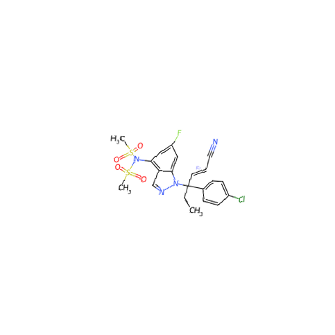 CCC(/C=C/C#N)(c1ccc(Cl)cc1)n1ncc2c(N(S(C)(=O)=O)S(C)(=O)=O)cc(F)cc21